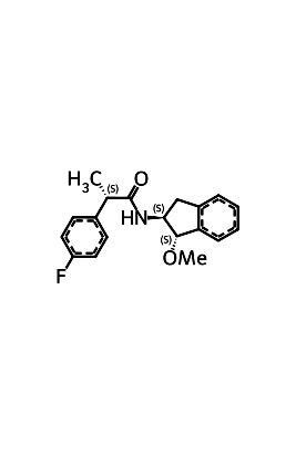 CO[C@H]1c2ccccc2C[C@@H]1NC(=O)[C@@H](C)c1ccc(F)cc1